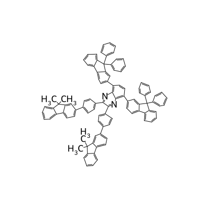 CC1(C)c2ccccc2-c2ccc(-c3ccc(-c4nc5c(-c6ccc7c(c6)C(c6ccccc6)(c6ccccc6)c6ccccc6-7)ccc(-c6ccc7c(c6)C(c6ccccc6)(c6ccccc6)c6ccccc6-7)c5nc4-c4ccc(-c5ccc6c(c5)C(C)(C)c5ccccc5-6)cc4)cc3)cc21